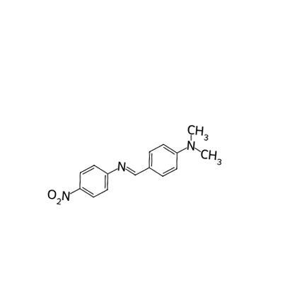 CN(C)c1ccc(/C=N/c2ccc([N+](=O)[O-])cc2)cc1